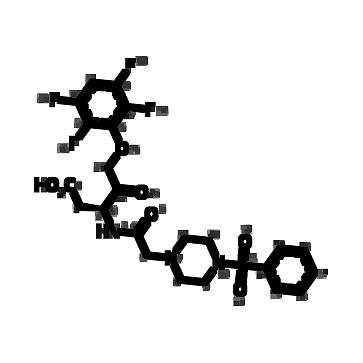 O=C(O)C[C@H](NC(=O)CN1CCN(S(=O)(=O)c2ccccc2)CC1)C(=O)COc1c(F)c(F)cc(F)c1F